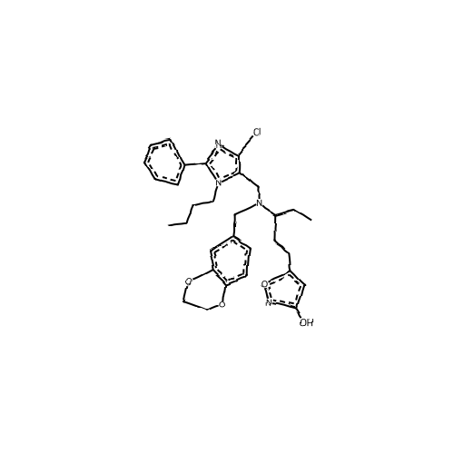 CCCCn1c(-c2ccccc2)nc(Cl)c1CN(Cc1ccc2c(c1)OCCO2)C(CC)CCc1cc(O)no1